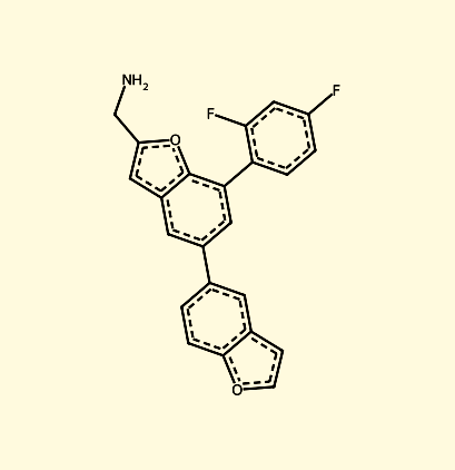 NCc1cc2cc(-c3ccc4occc4c3)cc(-c3ccc(F)cc3F)c2o1